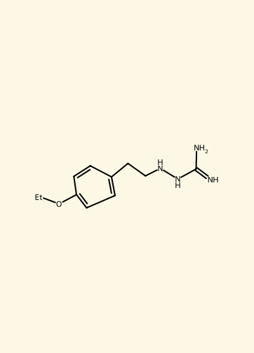 CCOc1ccc(CCNNC(=N)N)cc1